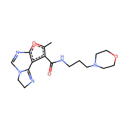 Cc1oc2c(c1C(=O)NCCCN1CCOCC1)C1=NCCN1C=N2